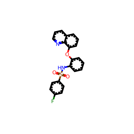 O=S(=O)(Nc1ccccc1Oc1cccc2cccnc12)c1ccc(F)cc1